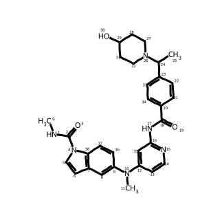 CNC(=O)n1ccc2cc(N(C)c3ccnc(NC(=O)c4ccc(C(C)N5CCC(O)CC5)cc4)c3)ccc21